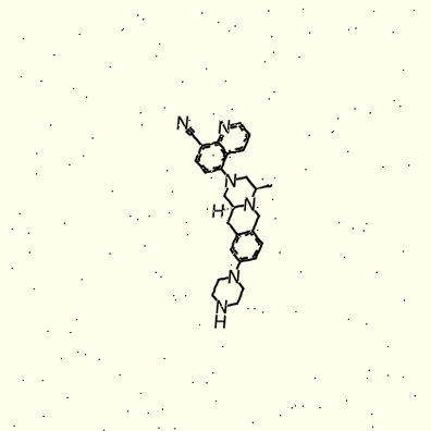 C[C@@H]1CN(c2ccc(C#N)c3ncccc23)C[C@@H]2Cc3cc(N4CCNCC4)ccc3CN21